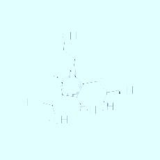 CCCn1nc(C(C)C)c(O)c1CC(C)C